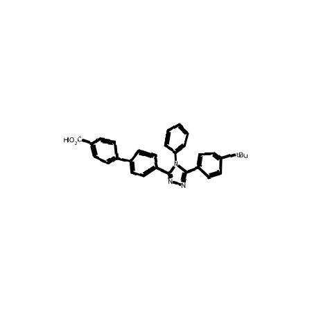 CC(C)(C)c1ccc(-c2nnc(-c3ccc(-c4ccc(C(=O)O)cc4)cc3)n2-c2ccccc2)cc1